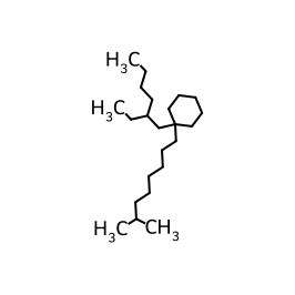 CCCCC(CC)CC1(CCCCCCC(C)C)CCCCC1